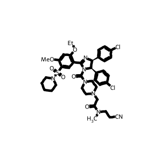 CCOc1cc(OC)c(S(=O)(=O)N2CCCCC2)cc1C1=N[C@@H](c2ccc(Cl)cc2)[C@@H](c2ccc(Cl)cc2)N1C(=O)N1CCN(CC(=O)N(C)CCC#N)CC1